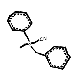 C[Si](C#N)(Cc1ccccc1)c1ccccc1